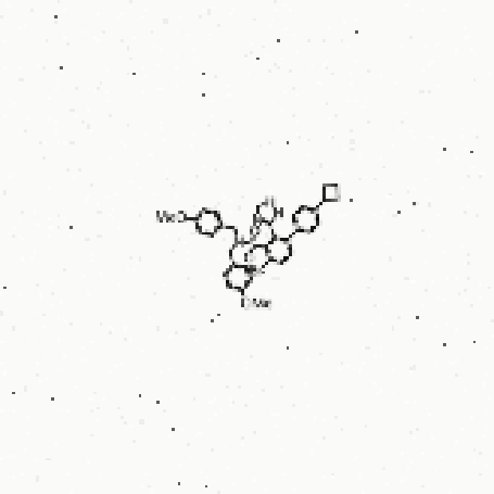 COc1ccc(CN(Cc2ccc(OC)cc2)S(=O)(=O)c2c(Br)ccc(-c3ccc(C4CCC4)cc3)c2C2=NCN=N2)cc1